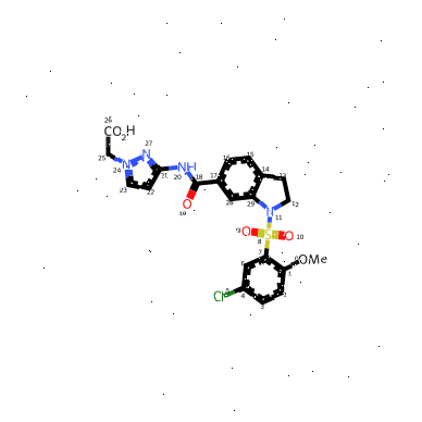 COc1ccc(Cl)cc1S(=O)(=O)N1CCc2ccc(C(=O)Nc3ccn(CC(=O)O)n3)cc21